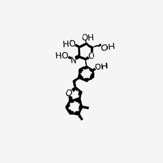 Cc1ccc2oc(Cc3ccc(O)c([C@@H]4O[C@H](CO)[C@@H](O)C(O)/C4=N\O)c3)cc2c1C